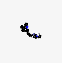 C=C(/C=C\C1=C(C)c2nc(C3=CCCC=C3)ccc2CC1)C1=CC2C=C(c3ccc(C4=NC5C=CC=CC5c5c4c4ccccc4c4ccccc54)cc3)C=CC2C=C1